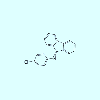 Clc1ccc(N=C2c3ccccc3-c3ccccc32)cc1